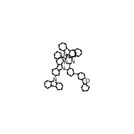 c1ccc(-c2nc(-c3ccccc3)nc(-c3cc(-c4ccc5oc6ccccc6c5c4)ccc3-n3c4cc(-n5c6ccccc6c6ccccc65)ccc4c4ccc(-n5c6ccccc6c6ccccc65)cc43)n2)cc1